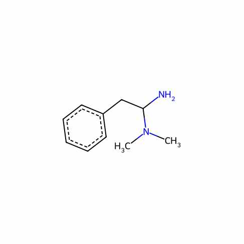 CN(C)C(N)Cc1ccccc1